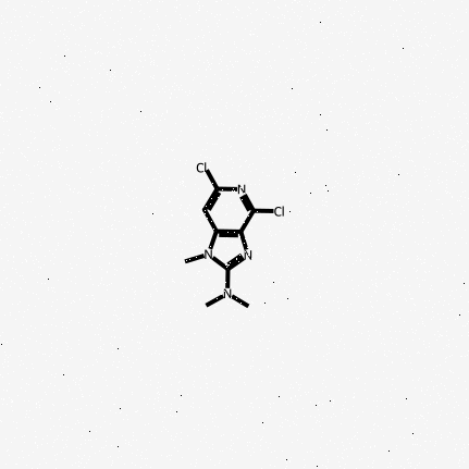 CN(C)c1nc2c(Cl)nc(Cl)cc2n1C